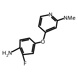 CNc1cc(Oc2ccc(N)c(F)c2)ccn1